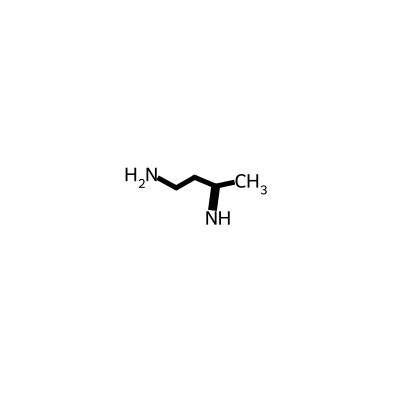 CC(=N)CCN